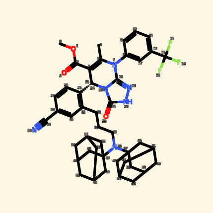 COC(=O)C1=C(C)N(c2cccc(C(F)(F)F)c2)c2n[nH]c(=O)n2[C@@H]1c1ccc(C#N)cc1CCCN(C12CC3CC(CC(C3)C1)C2)C12CC3CC(CC(C3)C1)C2